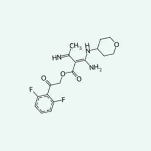 CC(=N)/C(C(=O)OCC(=O)c1c(F)cccc1F)=C(/N)NC1CCOCC1